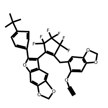 C#COc1cc2c(cc1CC1=C(c3c(-c4ccc(C(C)(C)C)cc4)oc4cc5c(cc34)OCO5)C(F)(F)C(F)(F)C1(F)F)OCO2